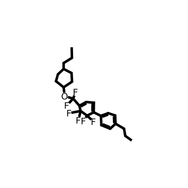 CCCc1ccc(C2=CC=C(C(F)(F)OC3CCC(CCC)CC3)C(F)(F)C2(F)F)cc1